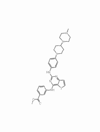 COC(=O)c1cccc(Nc2nc(Nc3ccc(N4CCC(N5CCN(C)CC5)CC4)cc3)nc3ccsc23)c1